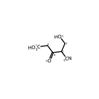 N#CC(CO)C(=O)CC(=O)O